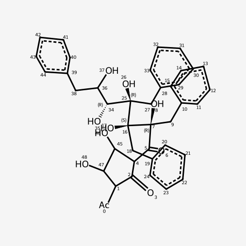 CC(=O)C1C(=O)C(C(=O)[C@@](O)(Cc2ccccc2)[C@](O)(Cc2ccccc2)[C@@](O)(Cc2ccccc2)[C@H](O)C(O)Cc2ccccc2)C(O)C1O